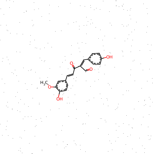 COc1cc(C=CC(=O)C([C]=O)=Cc2ccc(O)cc2)ccc1O